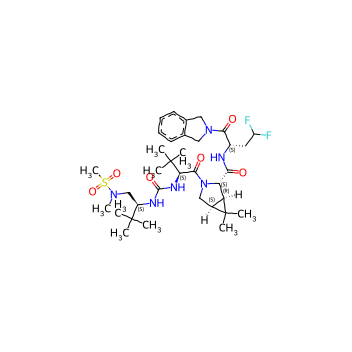 CN(C[C@@H](NC(=O)N[C@H](C(=O)N1C[C@H]2[C@@H]([C@H]1C(=O)N[C@@H](CC(F)F)C(=O)N1Cc3ccccc3C1)C2(C)C)C(C)(C)C)C(C)(C)C)S(C)(=O)=O